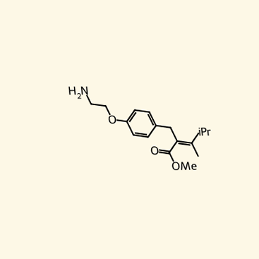 COC(=O)/C(Cc1ccc(OCCN)cc1)=C(\C)C(C)C